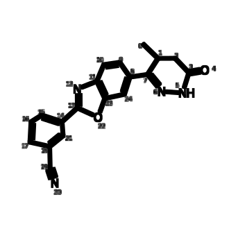 CC1CC(=O)NN=C1c1ccc2nc(-c3cccc(C#N)c3)oc2c1